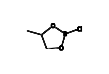 CC1COB(Cl)O1